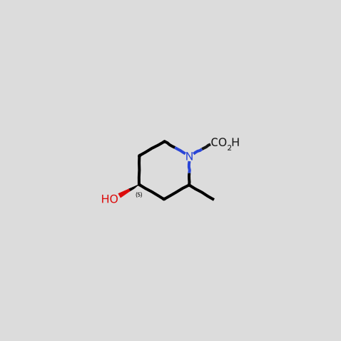 CC1C[C@@H](O)CCN1C(=O)O